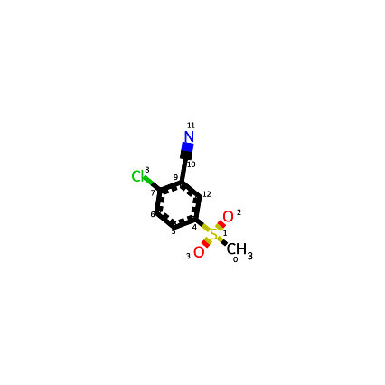 CS(=O)(=O)c1ccc(Cl)c(C#N)c1